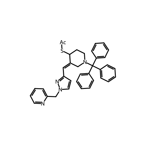 CC(=O)SC1CCN(C(c2ccccc2)(c2ccccc2)c2ccccc2)C/C1=C\c1ccn(Cc2ccccn2)n1